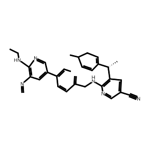 C=Nc1cc(C(/C=C\C(=C)CNc2ncc(C#N)cc2[C@@H](C)C2=CCC(C)C=C2)=C/C)cnc1NCC